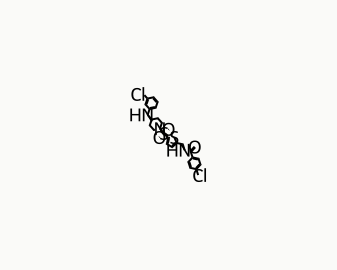 O=C(NCc1ccc(S(=O)(=O)N2CCC(Nc3cccc(Cl)c3)CC2)s1)c1ccc(Cl)cc1